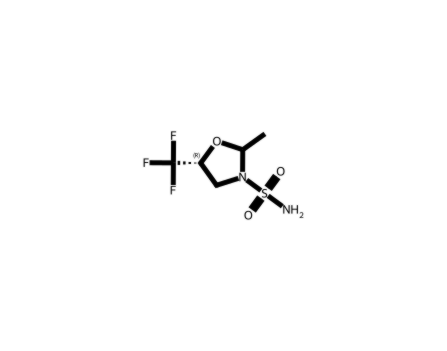 CC1O[C@@H](C(F)(F)F)CN1S(N)(=O)=O